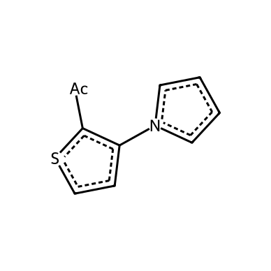 CC(=O)c1sccc1-n1cccc1